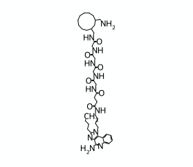 CCCCc1nc2c(N)nc3ccccc3c2n1CCCCNC(=O)CCC(=O)NCC(=O)NCC(=O)NCC(=O)NCC(=O)NCC1CCCCCCCCC(CN)C1